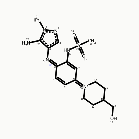 CC(C)n1ncc(/N=C2/C=CC(=[N+]3CCC(CO)CC3)C=C2NS(C)(=O)=O)c1N